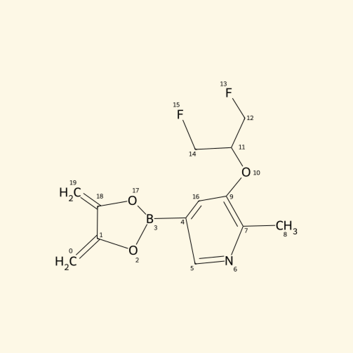 C=C1OB(c2cnc(C)c(OC(CF)CF)c2)OC1=C